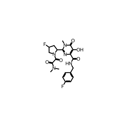 CN(C)C(=O)C(=O)N1CC(F)CC1c1nc(C(=O)NCc2ccc(F)cc2)c(O)c(=O)n1C